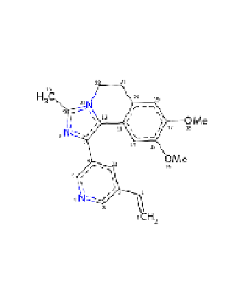 C=Cc1cncc(-c2nc(C)n3c2-c2cc(OC)c(OC)cc2CC3)c1